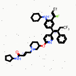 CC/C=C(\F)c1cc(/C(=C(\CC(F)(F)F)c2ccccc2)c2ccc(OC3CCCN(C/C=C/C(=O)NC4CCCC4)C3)nc2)ccc1NC1CCCCC1